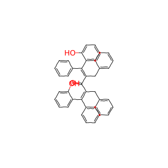 O=C(C(Cc1ccccc1)=C(c1ccccc1)c1ccccc1O)C(Cc1ccccc1)=C(c1ccccc1)c1ccccc1O